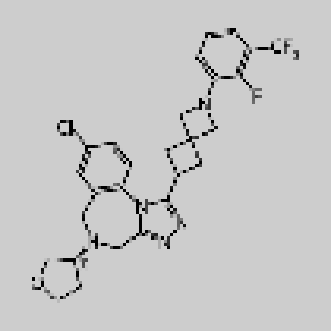 Fc1c(N2CC3(CC(c4nnc5n4-c4ccc(Cl)cc4CN([C@H]4CCOC4)C5)C3)C2)cccc1C(F)(F)F